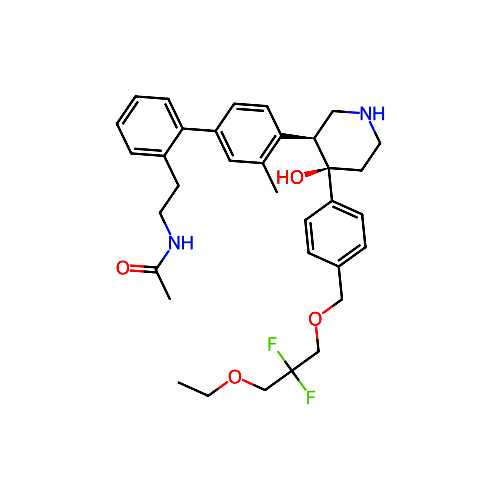 CCOCC(F)(F)COCc1ccc([C@@]2(O)CCNC[C@@H]2c2ccc(-c3ccccc3CCNC(C)=O)cc2C)cc1